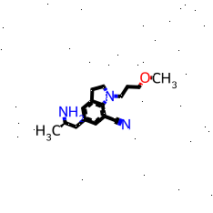 COCCCN1CCc2cc(C[C@@H](C)N)cc(C#N)c21